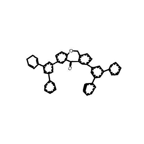 O=C1c2cc(-c3cc(-c4c#cccc4)cc(-c4ccccc4)c3)ccc2COc2ccc(-c3cc(C4=CCCC=C4)cc(-c4ccccc4)c3)cc21